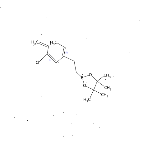 C=C/C(Cl)=C\C(=C/C)CCB1OC(C)(C)C(C)(C)O1